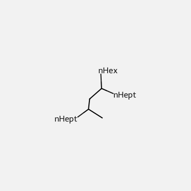 CCCCCCCC(C)CC(CCCCCC)CCCCCCC